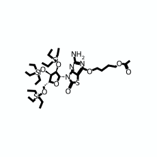 CC[Si](CC)(CC)OC[C@H]1O[C@@H](n2c(=O)sc3c(OCCCCOC(C)=O)nc(N)nc32)[C@H](O[Si](CC)(CC)CC)[C@@H]1O[Si](CC)(CC)CC